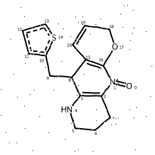 O=[N+]1C2=C(NCCC2)C(Cc2cccs2)C2=C1OCC=C2